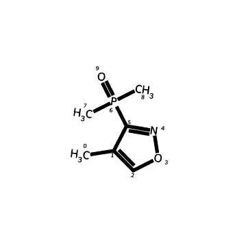 Cc1conc1P(C)(C)=O